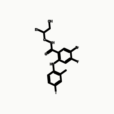 CCC(CO)ONC(=O)c1cc(Br)c(F)cc1Nc1ccc(I)cc1C